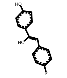 N#C/C(=C\c1ccc(F)cc1)c1ccc(O)cc1